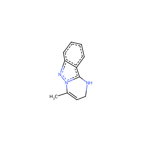 CC1=CCNc2c3ccccc3nn21